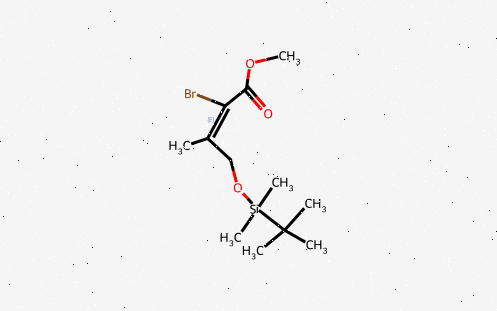 COC(=O)/C(Br)=C(/C)CO[Si](C)(C)C(C)(C)C